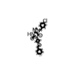 O=c1[nH]c2ncn(Cc3ccc(Cl)cc3)c2c(=O)n1C1CC(OCc2ccccc2)C1